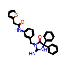 N=C1NC(c2ccccc2)(c2ccccc2)C(=O)N1Cc1cccc(NC(=O)Cc2cccs2)c1